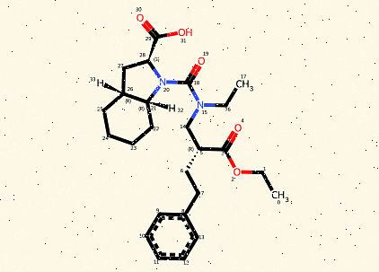 CCOC(=O)[C@H](CCc1ccccc1)CN(CC)C(=O)N1[C@@H]2CCCC[C@@H]2C[C@H]1C(=O)O